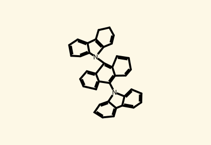 C1=Cc2c(c3ccccc3n2-c2c3ccccc3c(-n3c4ccccc4c4ccccc43)c3ccccc23)CC1